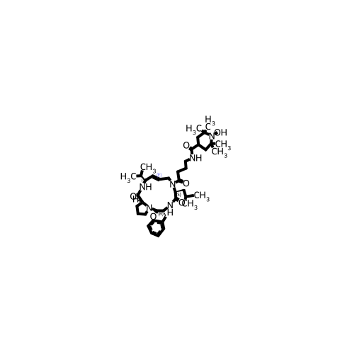 CC(C)C[C@H]1C(=O)N[C@H](Cc2ccccc2)C(=O)N2CCC[C@H]2C(=O)N[C@@H](C(C)C)/C=C/CN1C(=O)CCCNC(=O)C1CC(C)(C)N(O)C(C)(C)C1